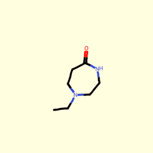 CCN1CCNC(=O)CC1